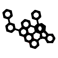 c1ccc(-c2cccc(-c3ccc(N(c4ccccc4-n4c5ccccc5c5ccccc54)c4cccc(-c5ccccc5)c4-c4ccccc4-c4ccccc4)cc3)c2)cc1